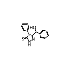 OC(c1ccccc1)c1n[nH]c(=S)n1-c1ccccc1